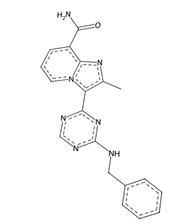 Cc1nc2c(C(N)=O)cccn2c1-c1ncnc(NCc2ccccc2)n1